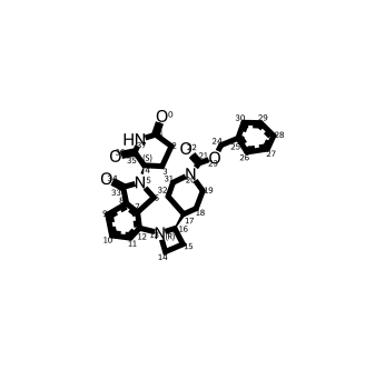 O=C1CC[C@H](N2Cc3c(cccc3N3CC[C@@H]3C3CCN(C(=O)OCc4ccccc4)CC3)C2=O)C(=O)N1